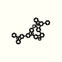 O=c1c2ccc(-c3cccc4oc5ccc(-n6c7ccccc7c7cc(-c8ccc9c(c8)c8ccccc8n9-c8ccccc8)ccc76)cc5c34)cc2c2cc(-c3ccccc3)cc3c4ccccc4n1c23